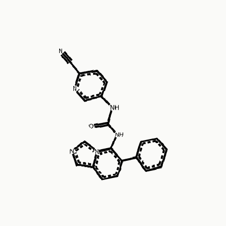 N#Cc1ccc(NC(=O)Nc2c(-c3ccccc3)ccc3cncn23)cn1